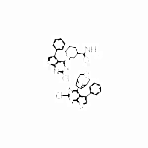 Clc1nc(N2C3CCC2COC3)c2c(-c3ccccc3)csc2n1.NC(=O)C1CCCN(c2nc(Cl)nc3scc(-c4ccccc4)c23)C1